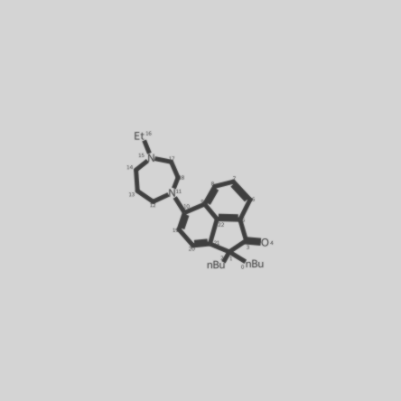 CCCCC1(CCCC)C(=O)c2cccc3c(N4CCCN(CC)CC4)ccc1c23